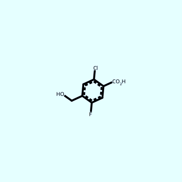 O=C(O)c1cc(F)c(CO)cc1Cl